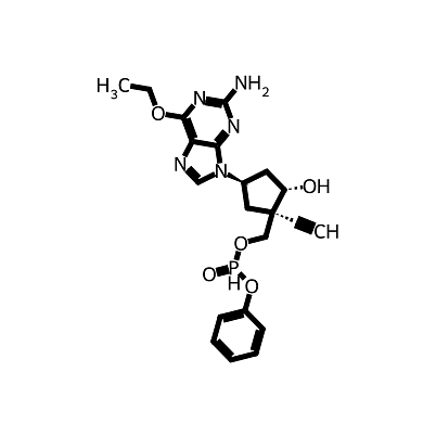 C#C[C@]1(CO[PH](=O)Oc2ccccc2)C[C@@H](n2cnc3c(OCC)nc(N)nc32)C[C@@H]1O